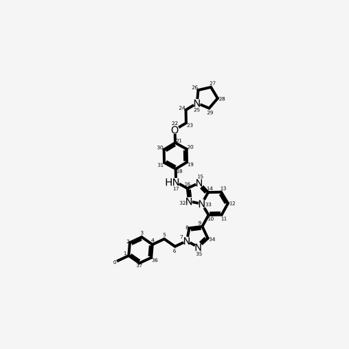 Cc1ccc(CCn2cc(-c3cccc4nc(Nc5ccc(OCCN6CCCC6)cc5)nn34)cn2)cc1